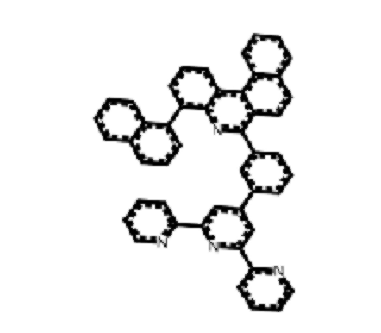 c1ccc(-c2cc(-c3cccc(-c4nc5c(-c6cccc7ccccc67)cccc5c5c4ccc4ccccc45)c3)cc(-c3ccccn3)n2)nc1